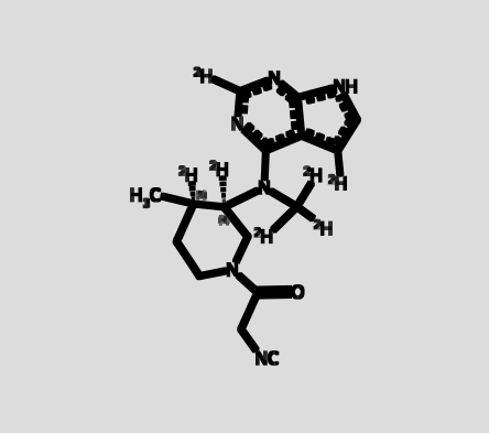 [2H]c1nc(N(C([2H])([2H])[2H])[C@@]2([2H])CN(C(=O)C[N+]#[C-])CC[C@@]2([2H])C)c2c([2H])c[nH]c2n1